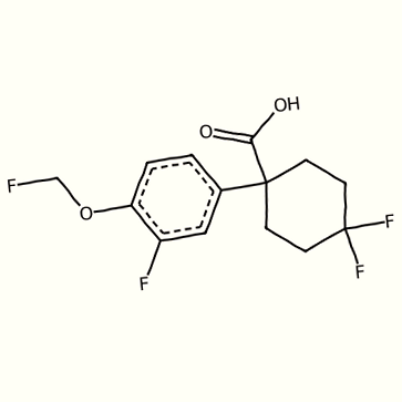 O=C(O)C1(c2ccc(OCF)c(F)c2)CCC(F)(F)CC1